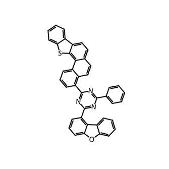 c1ccc(-c2nc(-c3cccc4c3ccc3ccc5c6ccccc6sc5c34)nc(-c3cccc4oc5ccccc5c34)n2)cc1